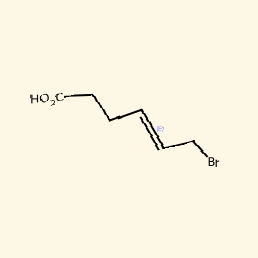 O=C(O)CC/C=C/CBr